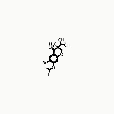 CC(C)C1(C)COc2cc(OC(F)F)c(Br)cc2C1=O